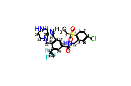 CCS(=O)(=O)c1ccc(Cl)cc1CNC(=O)c1cc(C#N)c(CN2CCNCC2)c(C(F)(F)F)c1